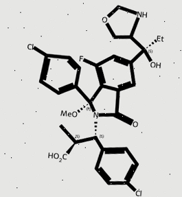 CC[C@](O)(c1cc(F)c2c(c1)C(=O)N([C@H](c1ccc(Cl)cc1)[C@H](C)C(=O)O)[C@@]2(OC)c1ccc(Cl)cc1)C1COCN1